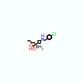 BC(CCCC)(C(=O)O)C1CC(NCc2ccc(Cl)cc2)C1